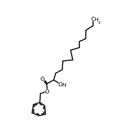 CCCCCCCCCCCC(O)C(=O)OCc1ccccc1